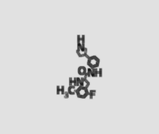 Cc1ccc(F)c2c1NC(C(=O)Nc1cccc(C3CCNC3)c1)C2